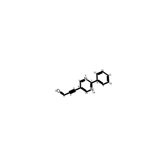 O=CC#Cc1cnc(-c2ccccc2)nc1